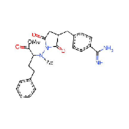 COC(=O)C(CCc1ccccc1)N(C(C)=O)N1C(=O)CC(Cc2ccc(C(=N)N)cc2)C1=O